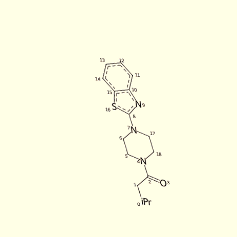 CC(C)CC(=O)N1CCN(c2nc3ccccc3s2)CC1